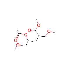 COCC(CC(COC)C(=O)OC)OC(C)=O